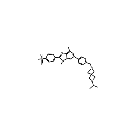 Cc1cc(-c2ccc(CN3CC4(C3)CN(C(C)C)C4)cc2)cc2c1nc(-c1ccc(S(C)(=O)=O)cc1)n2C